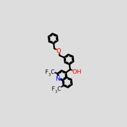 OC(c1cccc(COCc2ccccc2)c1)c1cc(C(F)(F)F)nc2c(C(F)(F)F)cccc12